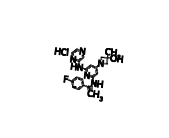 C[C@H](Nc1cc(N2CC(C)(O)C2)cc(Nc2cnccn2)n1)c1ccc(F)cc1.Cl